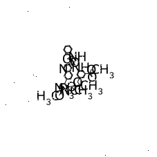 COC(=O)c1cc(Nc2c(S(=O)(=O)Nc3ccccc3)cnc3cc(-c4cnc(OC)nc4OC)ccc23)cc(OC(C)C)c1